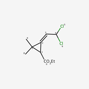 CCOC(=O)C1C(=CC(Cl)Cl)C1(C)C